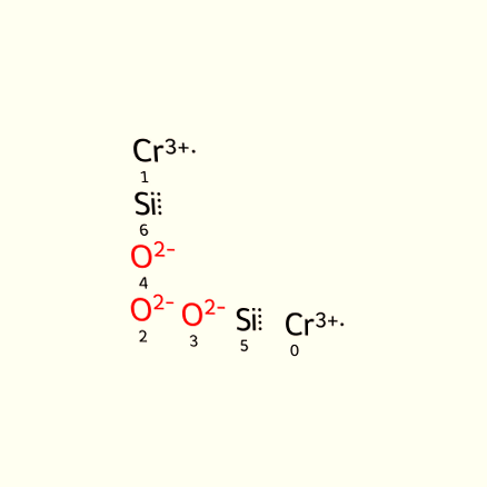 [Cr+3].[Cr+3].[O-2].[O-2].[O-2].[Si].[Si]